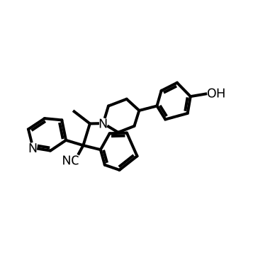 CC(N1CCC(c2ccc(O)cc2)CC1)C(C#N)(c1ccccc1)c1cccnc1